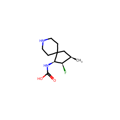 C[C@@H]1CC2(CCNCC2)[C@H](NC(=O)O)[C@@H]1F